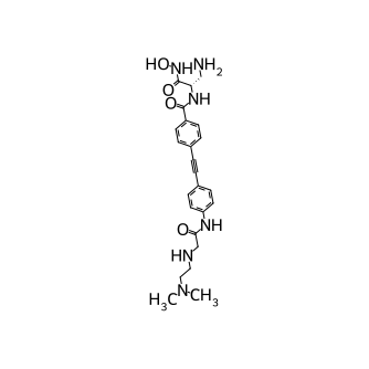 CN(C)CCNCC(=O)Nc1ccc(C#Cc2ccc(C(=O)N[C@@H](CN)C(=O)NO)cc2)cc1